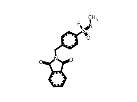 CN=S(=O)(F)c1ccc(CN2C(=O)c3ccccc3C2=O)cc1